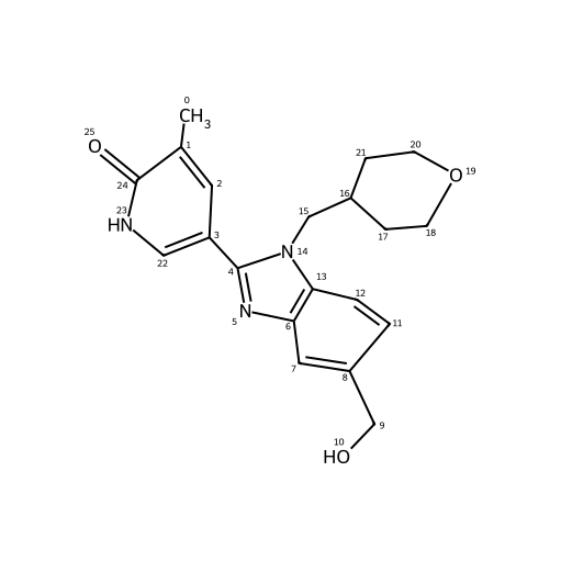 Cc1cc(-c2nc3cc(CO)ccc3n2CC2CCOCC2)c[nH]c1=O